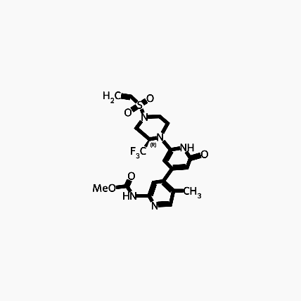 C=CS(=O)(=O)N1CCN(c2cc(-c3cc(NC(=O)OC)ncc3C)cc(=O)[nH]2)[C@@H](C(F)(F)F)C1